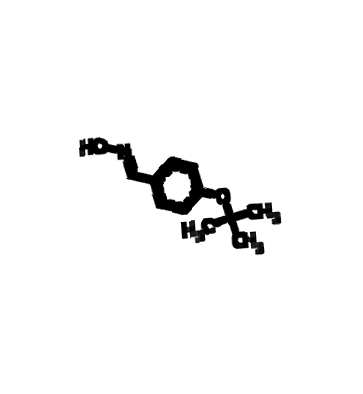 CC(C)(C)Oc1ccc(C=NO)cc1